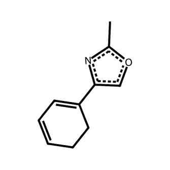 Cc1nc(C2=CC=CCC2)co1